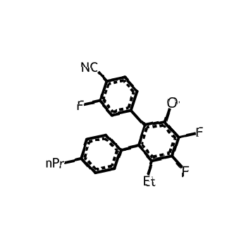 CCCc1ccc(-c2c(CC)c(F)c(F)c([O])c2-c2ccc(C#N)c(F)c2)cc1